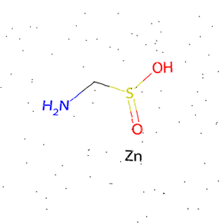 NCS(=O)O.[Zn]